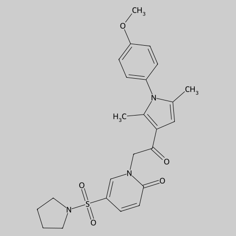 COc1ccc(-n2c(C)cc(C(=O)Cn3cc(S(=O)(=O)N4CCCC4)ccc3=O)c2C)cc1